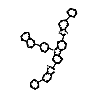 c1ccc(-c2ccc3sc(-c4ccc5c6ccc(-c7nc8cc(-c9ccccc9)ccc8s7)cc6n(-c6ccc(-c7ccc8ccccc8c7)cc6)c5c4)nc3c2)cc1